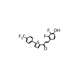 O=C(C=Cc1ccc(O)c(F)c1F)c1ccc(-c2ccc(C(F)(F)F)cc2)s1